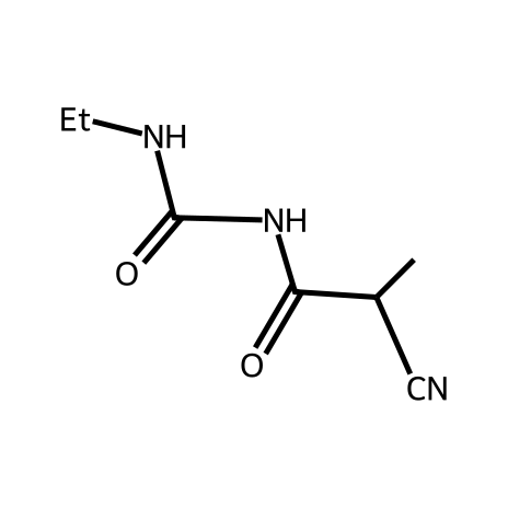 CCNC(=O)NC(=O)C(C)C#N